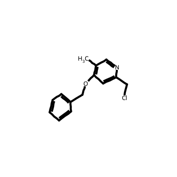 Cc1cnc(CCl)cc1OCc1ccccc1